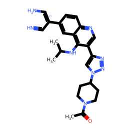 CC(=O)N1CCC(n2cc(-c3cnc4ccc(/C(C=N)=C/N)cc4c3NC(C)C)nn2)CC1